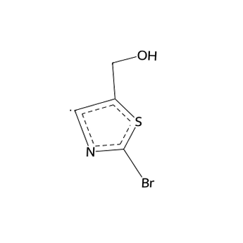 OCc1[c]nc(Br)s1